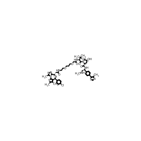 CNC[C@@H](NC(=O)[C@@H]1C[C@@H](O)CN1C(=O)[C@@H](NC(=O)COCCCOCCNC(=O)C[C@@H]1N=C(c2ccc(Cl)cc2)c2c(sc(C)c2C)-n2c(C)nnc21)C(C)(C)C)c1ccc(-c2scnc2C)cc1